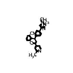 Cc1cc(C(=O)CC(c2ccc(-c3cn(C)nn3)cc2)c2ccccc2C)ccn1